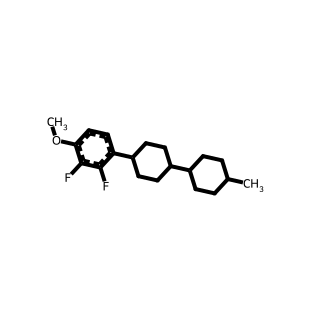 COc1ccc(C2CCC(C3CCC(C)CC3)CC2)c(F)c1F